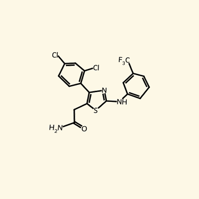 NC(=O)Cc1sc(Nc2cccc(C(F)(F)F)c2)nc1-c1ccc(Cl)cc1Cl